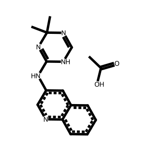 CC(=O)O.CC1(C)N=CNC(Nc2cnc3ccccc3c2)=N1